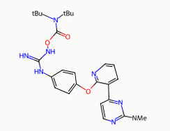 CNc1nccc(-c2cccnc2Oc2ccc(NC(=N)NOC(=O)N(C(C)(C)C)C(C)(C)C)cc2)n1